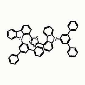 c1ccc(-c2cc(-c3ccccc3)cc(-n3c4ccccc4c4c(-c5nnc(-c6cccc7c8ccccc8n(-c8cc(-c9ccccc9)cc(-c9ccccc9)c8)c67)s5)cccc43)c2)cc1